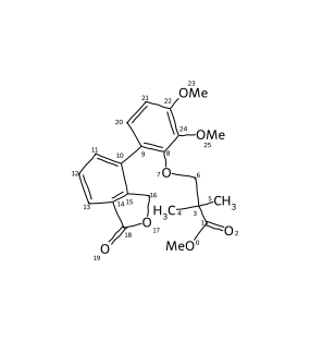 COC(=O)C(C)(C)COc1c(-c2cccc3c2COC3=O)ccc(OC)c1OC